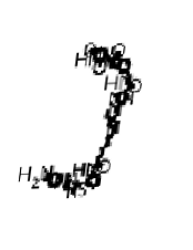 CC1(N)CCN(c2cnc(Sc3cccc(NC(=O)CCCCCCN4CC5(CCN(c6cnc(C(=O)NCc7ccc8c(c7)CN(C7CCC(=O)NC7=O)C8=O)cn6)C5)C4)c3)cn2)CC1